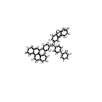 c1ccc(-c2ccc(N(c3ccc(-c4cc5ccccc5c5ccc6ccccc6c45)cc3)c3ccc4oc5ncccc5c4c3)cc2)cc1